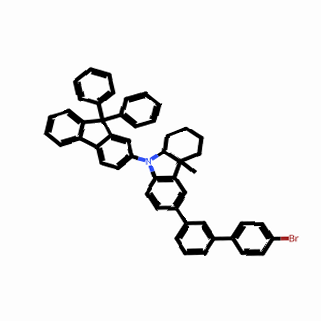 CC12CCCCC1N(c1ccc3c(c1)C(c1ccccc1)(c1ccccc1)c1ccccc1-3)c1ccc(-c3cccc(-c4ccc(Br)cc4)c3)cc12